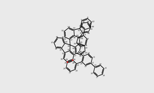 c1ccc(-c2ccc(N(c3ccc(-c4ccccc4)cc3-c3ccccc3)c3cccc4c3C3(c5ccccc5-4)c4ccccc4-n4c5ccccc5c5cccc3c54)cc2)cc1